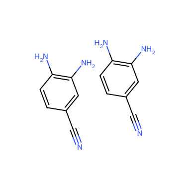 N#Cc1ccc(N)c(N)c1.N#Cc1ccc(N)c(N)c1